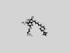 CCCCOc1nc(N)c2[nH]c(=O)n(CCCCCN3CCN(C4CCC4)CC3)c2n1